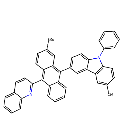 CC(C)(C)c1ccc2c(-c3ccc4ccccc4n3)c3ccccc3c(-c3ccc4c(c3)c3cc(C#N)ccc3n4-c3ccccc3)c2c1